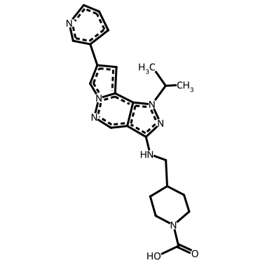 CC(C)n1nc(NCC2CCN(C(=O)O)CC2)c2cnn3cc(-c4cccnc4)cc3c21